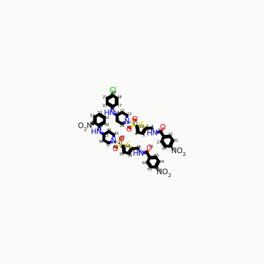 O=C(NCc1ccc(S(=O)(=O)N2CCC(Nc3ccc(Cl)cc3)CC2)s1)c1ccc([N+](=O)[O-])cc1.O=C(NCc1ccc(S(=O)(=O)N2CCC(Nc3ccccc3[N+](=O)[O-])CC2)s1)c1ccc([N+](=O)[O-])cc1